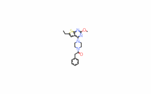 CCc1cc2c(N3CCN(C(=O)Cc4ccccc4)CC3)nc(OC)nc2s1